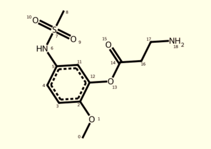 COc1ccc(NS(C)(=O)=O)cc1OC(=O)CCN